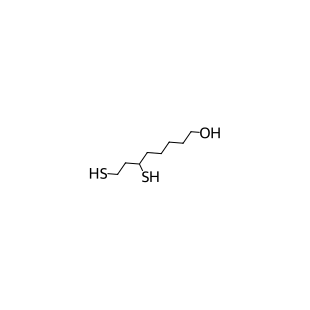 OCCCCCC(S)CCS